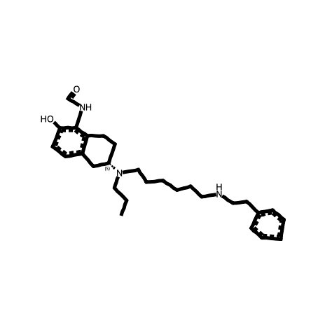 CCCN(CCCCCCNCCc1ccccc1)[C@H]1CCc2c(ccc(O)c2NC=O)C1